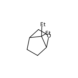 CCC1(CC)C2CCC1OC2